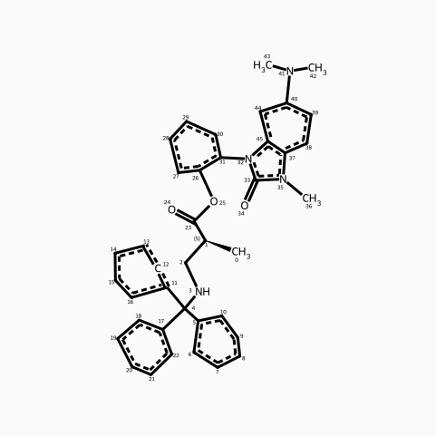 C[C@@H](CNC(c1ccccc1)(c1ccccc1)c1ccccc1)C(=O)Oc1ccccc1-n1c(=O)n(C)c2ccc(N(C)C)cc21